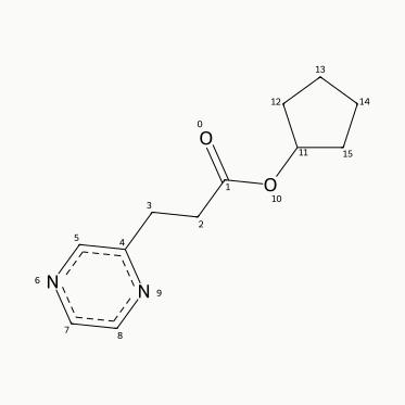 O=C(CCc1cnccn1)OC1CCCC1